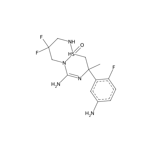 CC1(c2cc(N)ccc2F)C[SH]2(=O)NCC(F)(F)CN2C(N)=N1